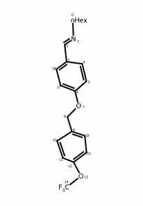 CCCCCC/N=C/c1ccc(OCc2ccc(OC(F)(F)F)cc2)cc1